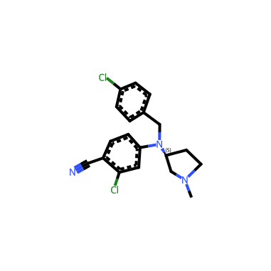 CN1CC[C@H](N(Cc2ccc(Cl)cc2)c2ccc(C#N)c(Cl)c2)C1